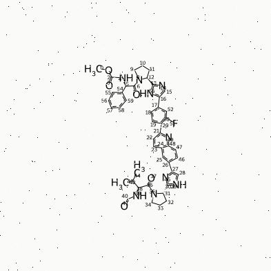 COC(=O)N[C@@H](C(=O)N1CCC[C@H]1c1ncc(-c2ccc(-c3ccc4cc(-c5c[nH]c([C@@H]6CCCN6C(=O)[C@@H](NC=O)C(C)C)n5)ccc4n3)c(F)c2)[nH]1)c1ccccc1